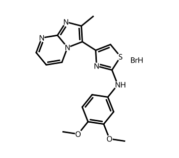 Br.COc1ccc(Nc2nc(-c3c(C)nc4ncccn34)cs2)cc1OC